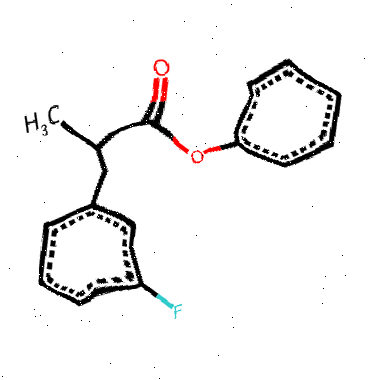 CC(C(=O)Oc1ccccc1)c1cccc(F)c1